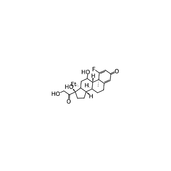 CC[C@]12CC(O)[C@H]3[C@@H](CCC4=CC(=O)C=C(F)[C@@]43C)[C@@H]1CC[C@]2(O)C(=O)CO